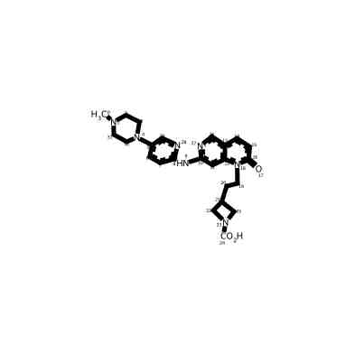 CN1CCN(c2ccc(Nc3cc4c(ccc(=O)n4CCC4CN(C(=O)O)C4)cn3)nc2)CC1